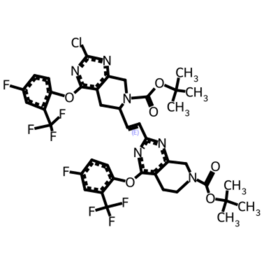 CC(C)(C)OC(=O)N1CCc2c(nc(/C=C/C3Cc4c(nc(Cl)nc4Oc4ccc(F)cc4C(F)(F)F)CN3C(=O)OC(C)(C)C)nc2Oc2ccc(F)cc2C(F)(F)F)C1